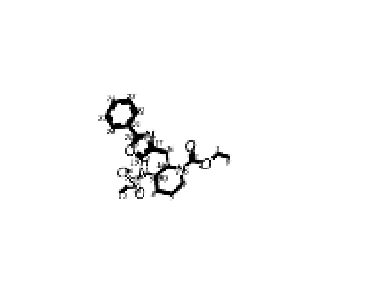 CCOC(=O)N1CCC[C@@H](NS(C)(=O)=O)[C@H]1Cc1coc(-c2ccccc2)n1